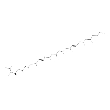 CCC(O)C(C)C(=O)CC(O)CC(O)CC(O)/C=C/CC(O)CC(O)CC(O)CC(O)/C=C/CC(O)CC(O)CCCN